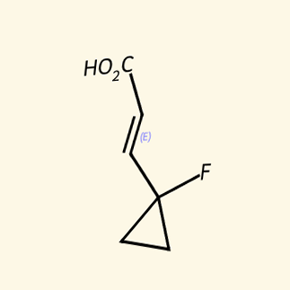 O=C(O)/C=C/C1(F)CC1